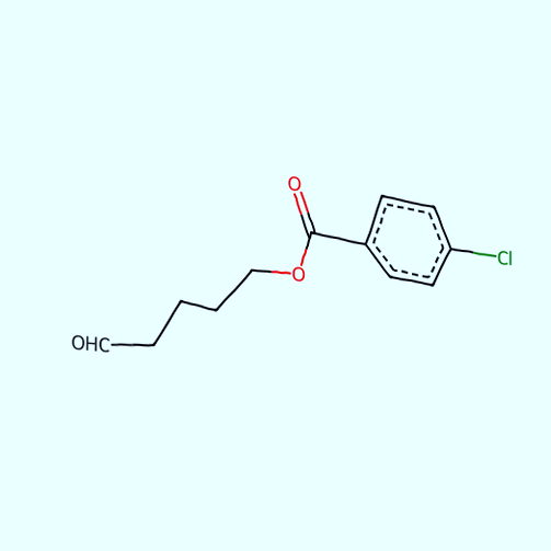 O=CCCCCOC(=O)c1ccc(Cl)cc1